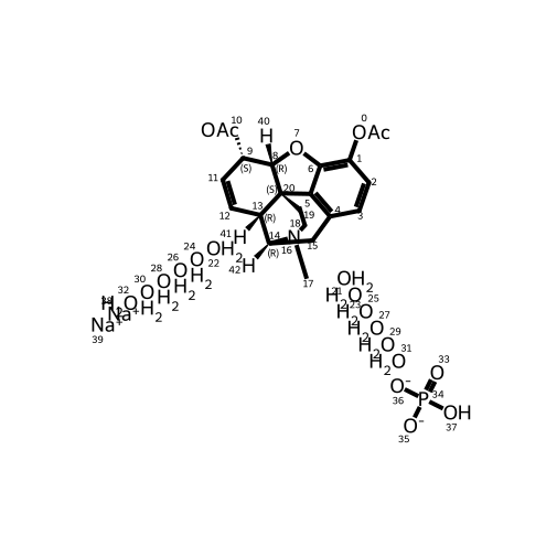 CC(=O)Oc1ccc2c3c1O[C@H]1[C@@H](OC(C)=O)C=C[C@H]4[C@@H](C2)N(C)CC[C@@]341.O.O.O.O.O.O.O.O.O.O.O.O.O=P([O-])([O-])O.[Na+].[Na+]